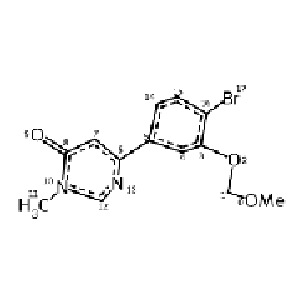 COCOc1cc(-c2cc(=O)n(C)cn2)ccc1Br